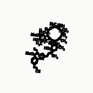 CC[C@H]1OC(=O)[C@H](C)C([C@H]2C[C@@](C)(OC)[C@@H](O)[C@H](C)O2)[C@H](C)[C@@H](O[C@@H]2O[C@H](C)C[C@H](N(C)CCc3cn([C@H](CF)[C@H](OC)c4ccc(SCC#N)cc4)nn3)[C@H]2O)[C@](C)(O)C[C@@H](C)CN(C)[C@H](C)[C@@H](O)[C@]1(C)O